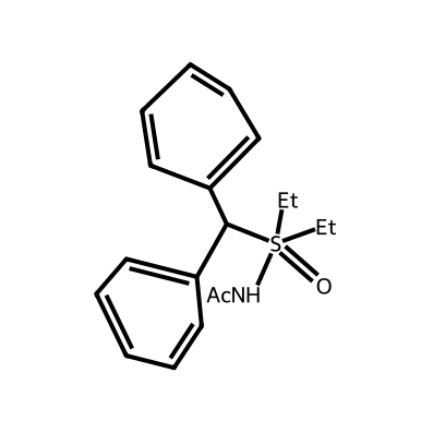 CCS(=O)(CC)(NC(C)=O)C(c1ccccc1)c1ccccc1